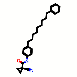 N#CC1(C(=O)Nc2ccc(CCCCCCCCCc3ccccc3)cc2)CC1